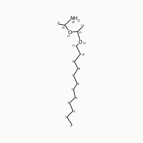 CCCCCCCCCCCCOC(C)OC(C)N